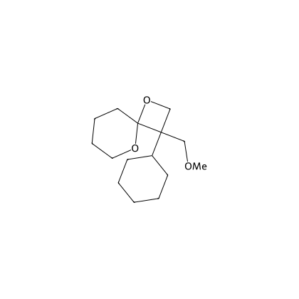 COCC1(C2CCCCC2)COC12CCCCO2